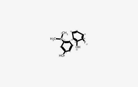 CN(C)c1cccc(O)c1.Oc1ccccc1F